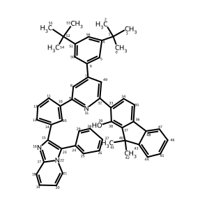 CC(C)(C)c1cc(-c2cc(-c3cccc(-c4nc5ccccn5c4-c4ccccc4)c3)nc(-c3ccc4c(c3O)C(C)(C)c3ccccc3-4)c2)cc(C(C)(C)C)c1